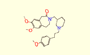 COc1ccc(CCCN2CCCC(CN3CCc4cc(OC)c(OC)cc4CC3=O)C2)cc1